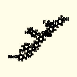 COc1ccc(CN2CCN(C3CC4(CCN(c5ccc(C(=O)NS(=O)(=O)c6ccc(NC[C@H]7CC[C@](C)(O)CC7)c(S(=O)(=O)C(F)(F)F)c6)c(Oc6cnc7[nH]ccc7c6)c5)CC4)C3)[C@H](c3ccccc3C(C)C)C2)cc1